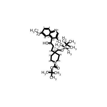 COc1ccc2ncc(Cl)c(C(O)CCC3(CO[Si](C)(C)C(C)(C)C)CCN(C(=O)OC(C)(C)C)CC3)c2c1